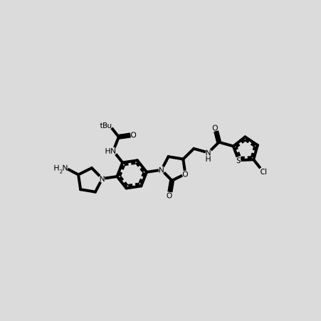 CC(C)(C)C(=O)Nc1cc(N2CC(CNC(=O)c3ccc(Cl)s3)OC2=O)ccc1N1CCC(N)C1